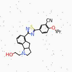 CC(C)Oc1ccc(-c2nc(-c3cccc4c3CC3CCN(CCO)C43)ns2)cc1C#N